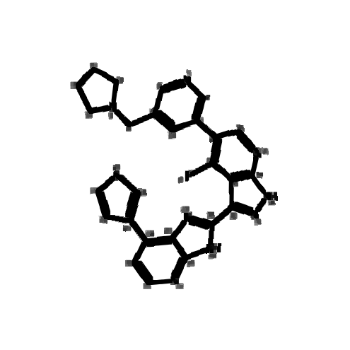 Fc1c(-c2cncc(CN3CCCC3)c2)cnc2[nH]nc(-c3nc4c(-c5ccsc5)ccnc4[nH]3)c12